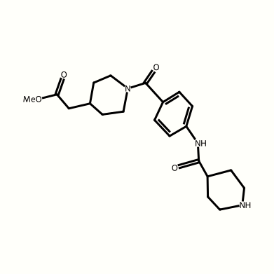 COC(=O)CC1CCN(C(=O)c2ccc(NC(=O)C3CCNCC3)cc2)CC1